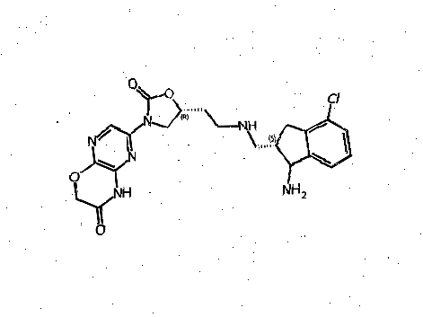 NC1c2cccc(Cl)c2C[C@H]1CNCC[C@@H]1CN(c2cnc3c(n2)NC(=O)CO3)C(=O)O1